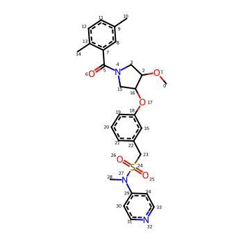 COC1CN(C(=O)c2cc(C)ccc2C)CC1Oc1cccc(CS(=O)(=O)N(C)c2ccncc2)c1